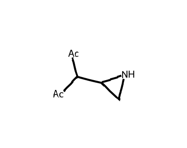 CC(=O)C(C(C)=O)C1CN1